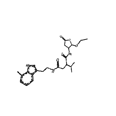 CCOC1OC(=O)CC1NC(=O)C(CC(=O)NCCc1c[nH]c2c(C)cccc12)C(C)C